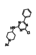 CC(=O)N1CCC(Nc2nc(Cl)nc(-c3ccccc3)n2)CC1